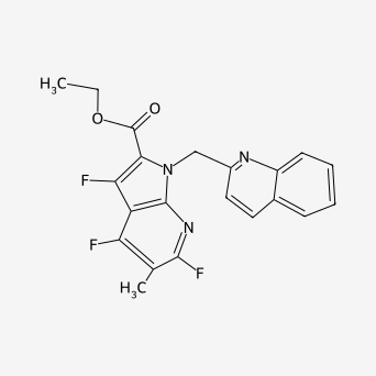 CCOC(=O)c1c(F)c2c(F)c(C)c(F)nc2n1Cc1ccc2ccccc2n1